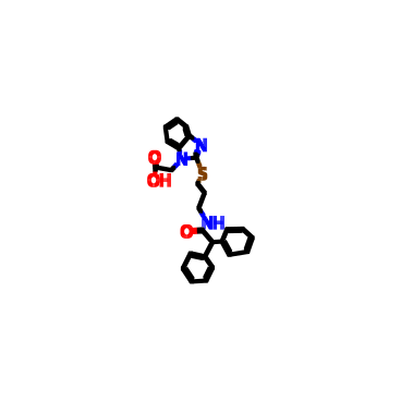 O=C(O)Cn1c(SCCCNC(=O)C(c2ccccc2)c2ccccc2)nc2ccccc21